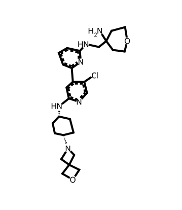 NC1(CNc2cccc(-c3cc(N[C@H]4CC[C@@H](N5CC6(COC6)C5)CC4)ncc3Cl)n2)CCOCC1